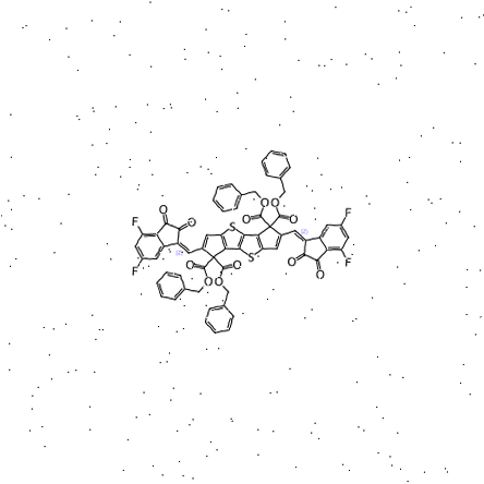 O=C1C(=O)c2c(F)cc(F)cc2/C1=C/C1=Cc2sc3c4c(sc3c2C1(C(=O)OCc1ccccc1)C(=O)OCc1ccccc1)C=C(/C=C1\C(=O)C(=O)c2c(F)cc(F)cc21)C4(C(=O)OCc1ccccc1)C(=O)OCc1ccccc1